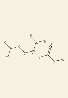 CCC(=O)CN(CCC(C)C)C(C)C